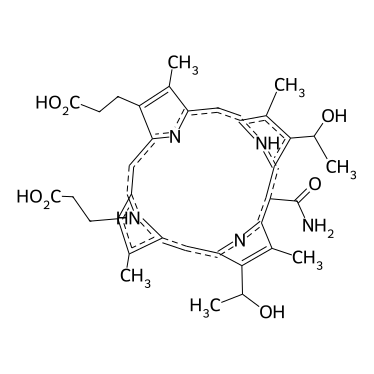 CC1=C(CCC(=O)O)c2cc3[nH]c(cc4nc(c(C(N)=O)c5[nH]c(cc1n2)c(C)c5C(C)O)C(C)=C4C(C)O)c(C)c3CCC(=O)O